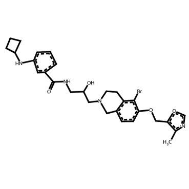 Cc1ncoc1COc1ccc2c(c1Br)CCN(CC(O)CNC(=O)c1cccc(NC3CCC3)c1)C2